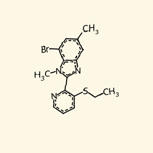 CCSc1cccnc1-c1nc2cc(C)cc(Br)c2n1C